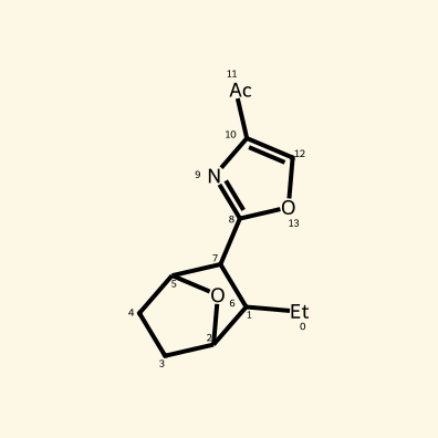 CCC1C2CCC(O2)C1c1nc(C(C)=O)co1